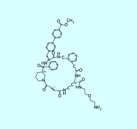 COC(=O)c1ccc(-c2ccc(C[C@@H]3NC(=O)[C@]4(Cc5ccccc5)CCCN(C4)C(=O)/C=C/C(=O)NCC[C@@H](C(=O)NCCOCCN)NC(=O)Cc4ccccc4CNC3=O)cc2)cc1